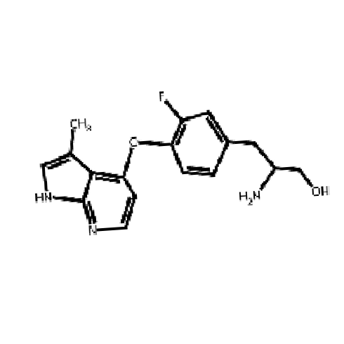 Cc1c[nH]c2nccc(Oc3ccc(CC(N)CO)cc3F)c12